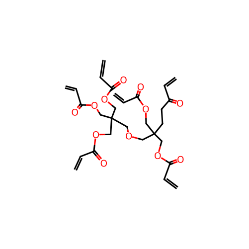 C=CC(=O)CCC(COCC(COC(=O)C=C)(COC(=O)C=C)COC(=O)C=C)(COC(=O)C=C)COC(=O)C=C